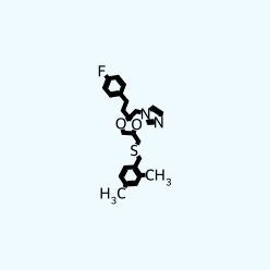 Cc1ccc(CSCC2COC(CCc3ccc(F)cc3)(Cn3ccnc3)O2)c(C)c1